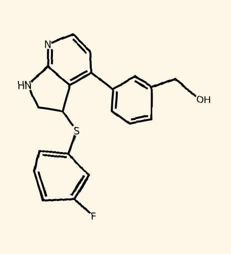 OCc1cccc(-c2ccnc3c2C(Sc2cccc(F)c2)CN3)c1